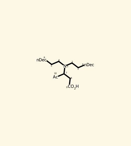 CCCCCCCCCCCCN(CCCCCCCCCCCC)C(CC(=O)O)C(C)=O